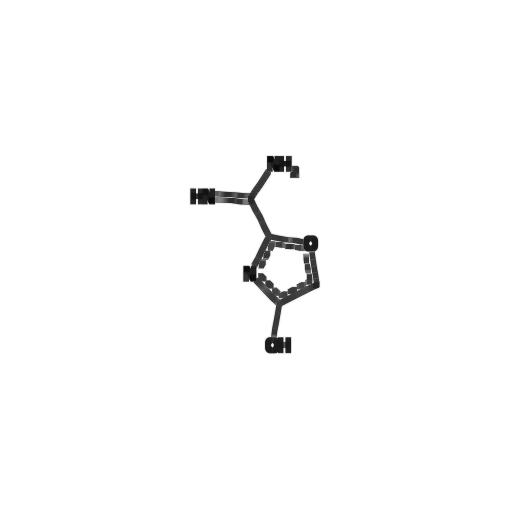 N=C(N)c1nc(O)co1